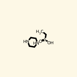 C1CNCCN1.CCS(=O)O